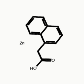 O=C(O)Cc1cccc2ccccc12.[Zn]